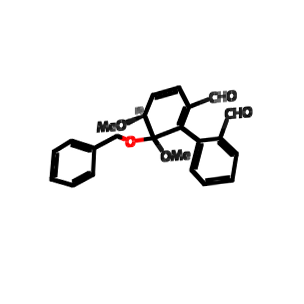 CO[C@H]1C=CC(C=O)=C(c2ccccc2C=O)C1(OC)OCc1ccccc1